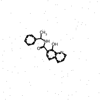 CC(NC(=O)c1ccc2cccnc2c1O)c1ccccc1